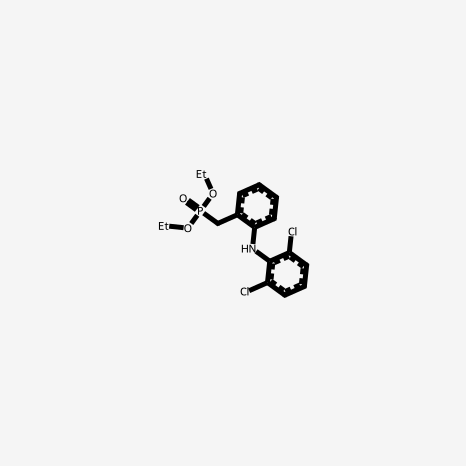 CCOP(=O)(Cc1ccccc1Nc1c(Cl)cccc1Cl)OCC